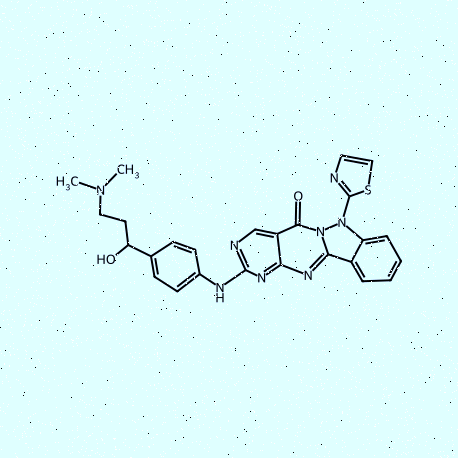 CN(C)CCC(O)c1ccc(Nc2ncc3c(=O)n4c(nc3n2)c2ccccc2n4-c2nccs2)cc1